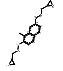 Cc1c(OOCC2CO2)ccc2ccc(OOCC3CO3)cc12